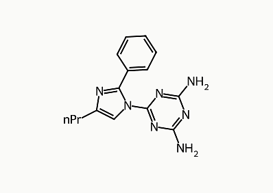 CCCc1cn(-c2nc(N)nc(N)n2)c(-c2ccccc2)n1